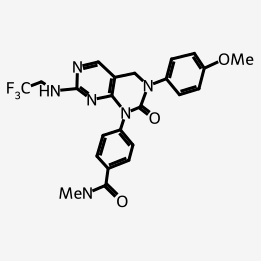 CNC(=O)c1ccc(N2C(=O)N(c3ccc(OC)cc3)Cc3cnc(NCC(F)(F)F)nc32)cc1